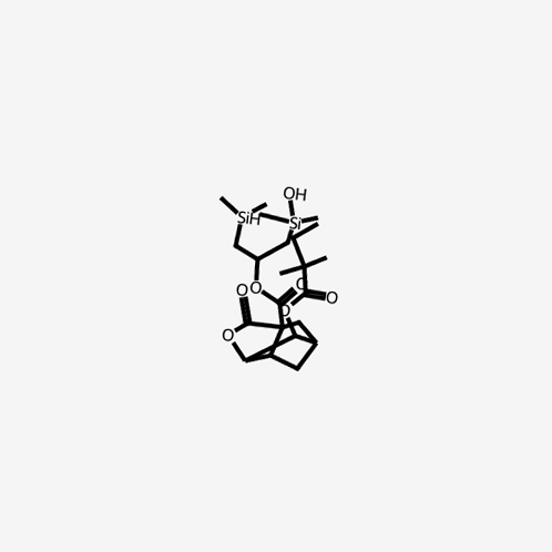 CCC(C)(C)C(=O)OC1C2CC3C1OC(=O)C3(C(=O)OC(C[SiH](C)C)C[Si](C)(C)O)C2